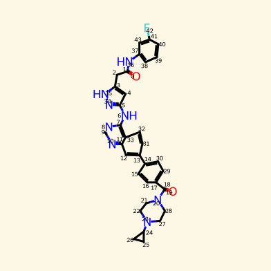 O=C(Cc1cc(Nc2ncnc3cc(-c4ccc(C(=O)N5CCN(C6CC6)CC5)cc4)ccc23)n[nH]1)Nc1cccc(F)c1